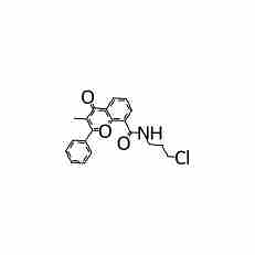 Cc1c(-c2ccccc2)oc2c(C(=O)NCCCCl)cccc2c1=O